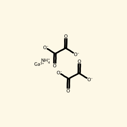 O=C([O-])C(=O)[O-].O=C([O-])C(=O)[O-].[Ga+3].[NH4+]